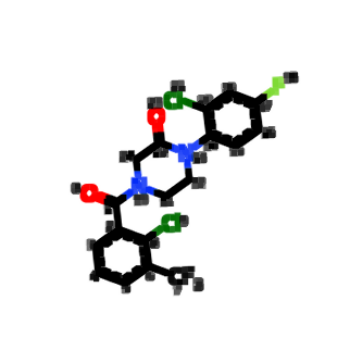 O=C(c1cccc(C(F)(F)F)c1Cl)N1CCN(c2ccc(F)cc2Cl)C(=O)C1